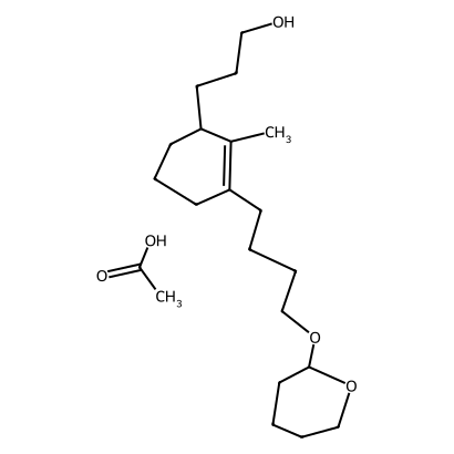 CC(=O)O.CC1=C(CCCCOC2CCCCO2)CCCC1CCCO